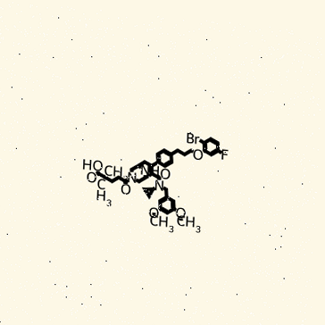 COc1cc(CN(C(=O)C2=C(c3ccc(CCCOc4cc(F)ccc4Br)cc3)CC3CN(C(=O)CCC(C)(C)C(=O)O)CC2N3)C2CC2)cc(OC)c1